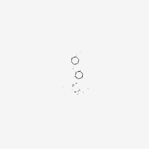 CCCCO[C@@H]1[C@@H](OCCCC)[C@H](c2ccc(Cl)c(Cc3ccc(OCC)cc3)c2)O[C@]2(C(C)O)C[C@H]12